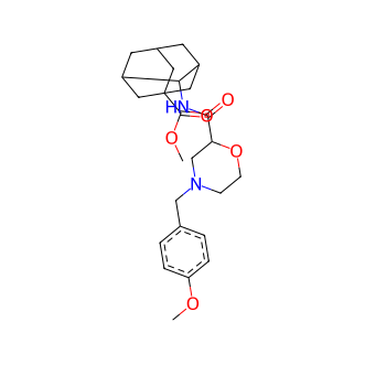 COC(=O)C12CC3CC(C1)C(NC(=O)C1CN(Cc4ccc(OC)cc4)CCO1)C(C3)C2